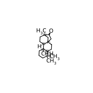 CC1(C)CCC[C@@]2(C)[C@H]1CC[C@@]13CC(=O)[C@](C)(CC[C@@H]12)C3